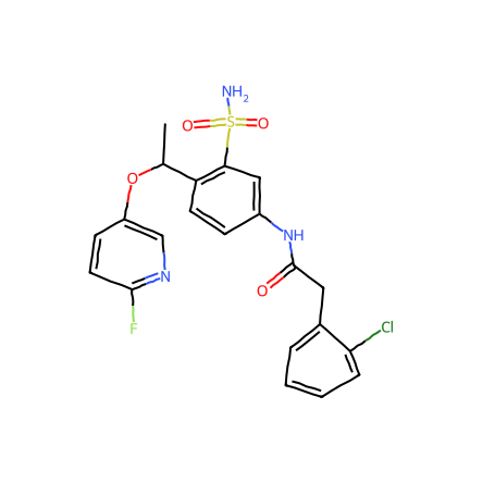 CC(Oc1ccc(F)nc1)c1ccc(NC(=O)Cc2ccccc2Cl)cc1S(N)(=O)=O